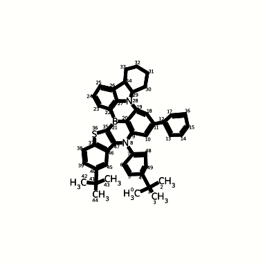 CC(C)(C)c1ccc(N2c3cc(-c4ccccc4)cc4c3B(c3cccc5c3N4C3CCCCC53)c3sc4ccc(C(C)(C)C)cc4c32)cc1